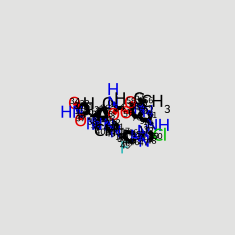 CNC(=O)COc1cc2cc(Nc3nc(N4CC[C@H](CN5CCN(c6cccc7c([C@H]8CCC(=O)NC8=O)nn(C)c67)CC5)[C@@H](F)C4)ncc3Cl)cnc2n(C(C)C)c1=O